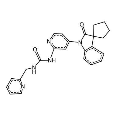 O=C(NCc1ccccn1)Nc1cc(N2C(=O)C3(CCCC3)c3ccccc32)ccn1